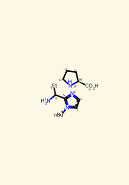 CCCCn1ccnc1C(N)CC.O=C(O)[C@@H]1CCCN1